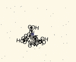 CC(C)(O/N=C(\C(=O)NC1C(=O)N(S(=O)(=O)O)C1CNC(=O)C1CN(Cc2cc(=O)c(O)c[nH]2)C1)c1csc(N)n1)C(=O)O